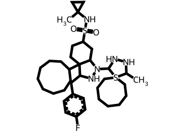 CC1NNC(N2NC(Cc3ccc(F)cc3)C3(C4CCCCCCCC4)CCC(S(=O)(=O)NC4(C)CC4)CC23)S12CCCCCCC2